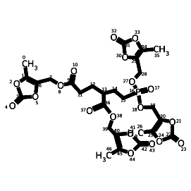 Cc1oc(=O)oc1COC(=O)CCC(CCP(=O)(OCc1oc(=O)oc1C)OCc1oc(=O)oc1C)C(=O)OCc1oc(=O)oc1C